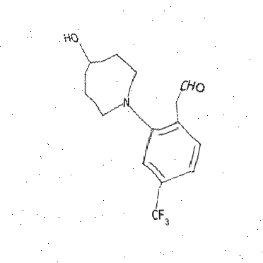 O=Cc1ccc(C(F)(F)F)cc1N1CCC(O)CC1